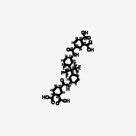 O=C(Nc1cccc(C(c2cccc(NC(=O)c3ccc(C(=O)O)c(C(=O)O)c3)c2)(C(F)(F)F)C(F)(F)F)c1)c1ccc(C(=O)O)c(C(=O)O)c1